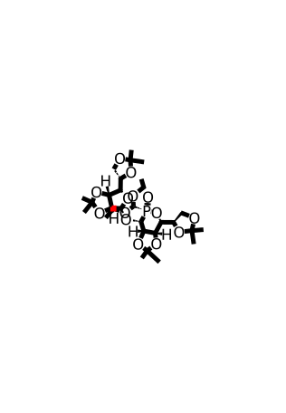 CCOC(OCC)[P@]1(=O)O[C@H]([C@H]2COC(C)(C)O2)[C@@H]2OC(C)(C)O[C@@H]2[C@@H]1O[C@H]1O[C@@H]([C@@H]2COC(C)(C)O2)[C@H]2OC(C)(C)O[C@@H]12